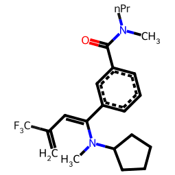 C=C(/C=C(/c1cccc(C(=O)N(C)CCC)c1)N(C)C1CCCC1)C(F)(F)F